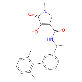 Cc1cccc(C)c1-c1cccc(C(C)NC(=O)C2=C(O)C(=O)N(C)C2)c1